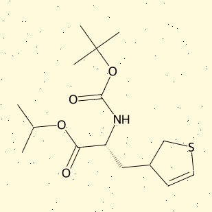 CC(C)OC(=O)[C@@H](CC1C=CSC1)NC(=O)OC(C)(C)C